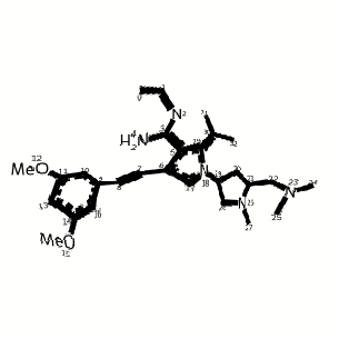 C/C=N\C(N)=c1\c(C#Cc2cc(OC)cc(OC)c2)cn(C2CC(CN(C)C)N(C)C2)c1=C(C)C